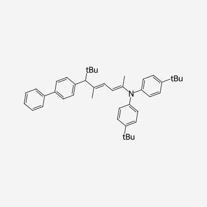 C/C(=C\C=C(/C)N(c1ccc(C(C)(C)C)cc1)c1ccc(C(C)(C)C)cc1)C(c1ccc(-c2ccccc2)cc1)C(C)(C)C